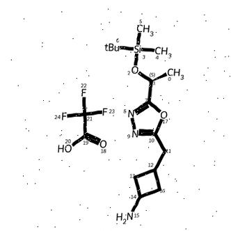 C[C@H](O[Si](C)(C)C(C)(C)C)c1nnc(CC2CC(N)C2)o1.O=C(O)C(F)(F)F